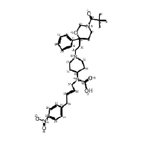 CC(C)(C)C(=O)N1CCC(CCN2CCC(N(CC=CCc3ccc([N+](=O)[O-])cc3)C(=O)O)CC2)(c2ccccc2)OC1